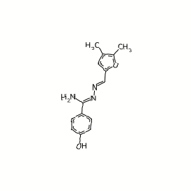 Cc1cc(/C=N/N=C(\N)c2ccc(O)cc2)oc1C